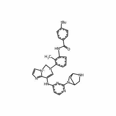 Cc1c(NC(=O)c2ccc(C(C)(C)C)cc2)cccc1N1C=C(Nc2ccnc(N3CC4CC3CN4)n2)C2=NC=C[N+]2C1